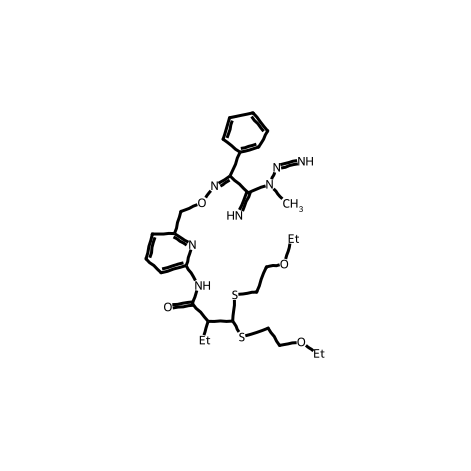 CCOCCSC(SCCOCC)C(CC)C(=O)Nc1cccc(CO/N=C(\C(=N)N(C)N=N)c2ccccc2)n1